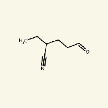 CCC(C#N)CCC=O